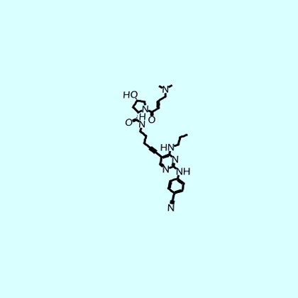 CCCNc1nc(Nc2ccc(C#N)cc2)ncc1C#CCCCNC(=O)[C@@H]1C[C@H](O)CN1C(=O)/C=C/CN(C)C